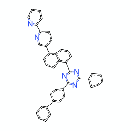 c1ccc(-c2ccc(-c3nc(-c4ccccc4)nc(-c4cccc5c(-c6ccc(-c7ccccn7)nc6)cccc45)n3)cc2)cc1